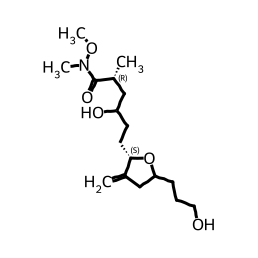 C=C1CC(CCCO)O[C@H]1CCC(O)C[C@@H](C)C(=O)N(C)OC